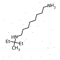 CCC(C)(CC)NCCCCCCCCN